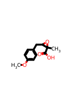 COc1ccc(CC2OC2(C)C(=O)O)cc1